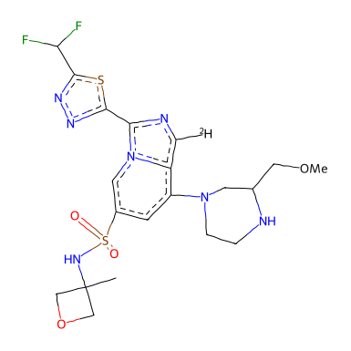 [2H]c1nc(-c2nnc(C(F)F)s2)n2cc(S(=O)(=O)NC3(C)COC3)cc(N3CCNC(COC)C3)c12